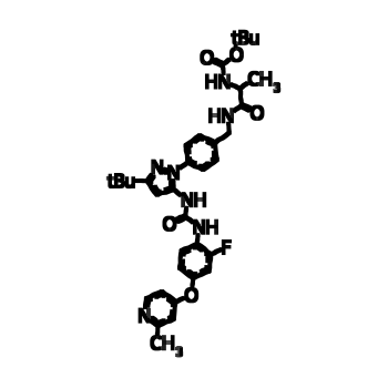 Cc1cc(Oc2ccc(NC(=O)Nc3cc(C(C)(C)C)nn3-c3ccc(CNC(=O)C(C)NC(=O)OC(C)(C)C)cc3)c(F)c2)ccn1